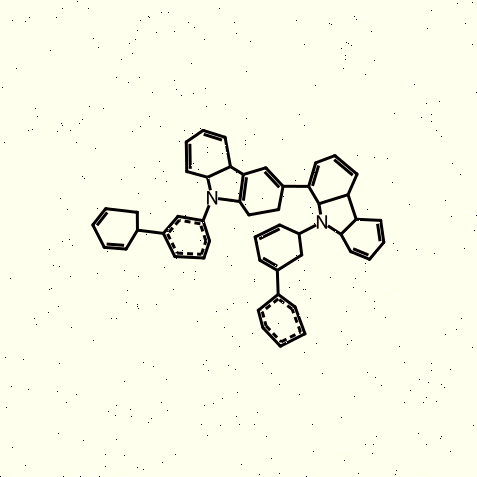 C1=CCC(c2cccc(N3C4=C(C=C(C5=CC=CC6C7C=CC=CC7N(C7C=CC=C(c8ccccc8)C7)C56)CC4)C4C=CC=CC43)c2)C=C1